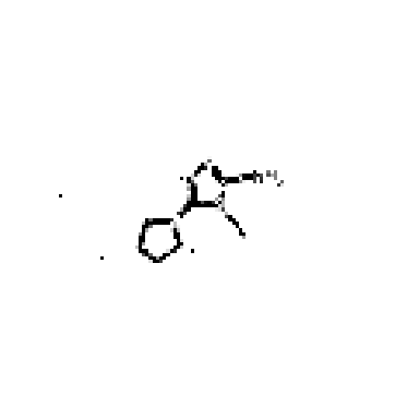 Cn1c(N)nnc1N1CCCC1